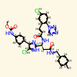 COC(=O)Nc1ccc(-c2nc([C@H](CC(=O)NCc3ccc(C)cc3)NC(=O)/C=C/c3cc(Cl)ccc3-n3cnnn3)[nH]c2Cl)cc1